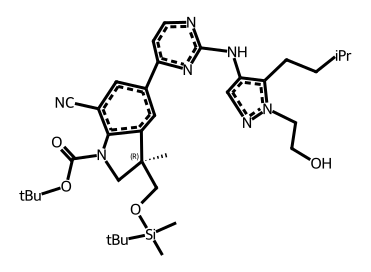 CC(C)CCc1c(Nc2nccc(-c3cc(C#N)c4c(c3)[C@@](C)(CO[Si](C)(C)C(C)(C)C)CN4C(=O)OC(C)(C)C)n2)cnn1CCO